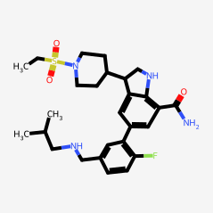 CCS(=O)(=O)N1CCC(C2CNc3c(C(N)=O)cc(-c4cc(CNCC(C)C)ccc4F)cc32)CC1